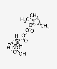 CC(C)[C@@H]1CC[C@@H](C)C[C@H]1OC(=O)OCOC(=O)[C@H]1[C@@H]2C[C@H](F)[C@@](N)(OC(=O)O)[C@@H]21